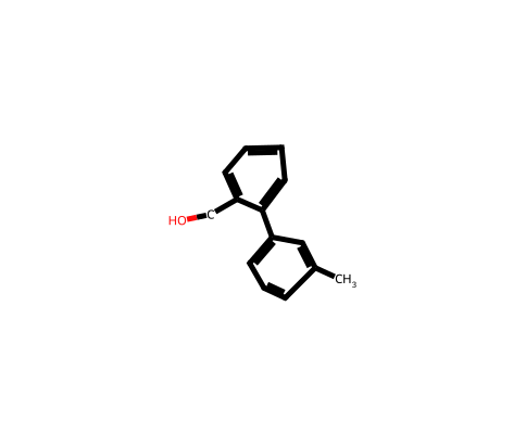 Cc1cccc(-c2ccccc2CO)c1